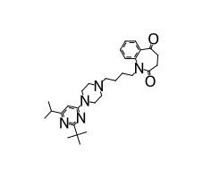 CC(C)c1cc(N2CCN(CCCCN3C(=O)CCC(=O)c4ccccc43)CC2)nc(C(C)(C)C)n1